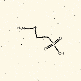 N[N]CCS(=O)(=O)O